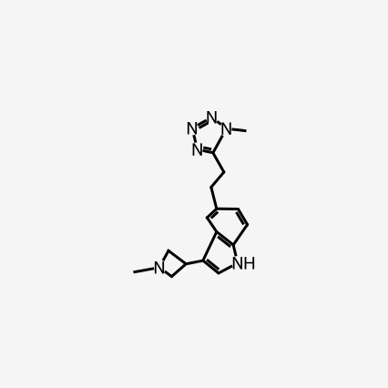 CN1CC(c2c[nH]c3ccc(CCc4nnnn4C)cc23)C1